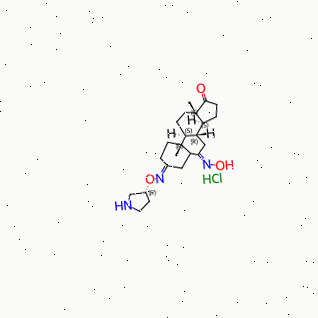 C[C@]12CCC(=NO[C@@H]3CCNC3)CC1C(=NO)C[C@@H]1[C@@H]2CC[C@]2(C)C(=O)CC[C@@H]12.Cl